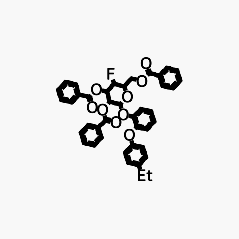 CCc1ccc(Oc2ccccc2OC2OC(COC(=O)c3ccccc3)C(F)C(OC(=O)c3ccccc3)C2OC(=O)c2ccccc2)cc1